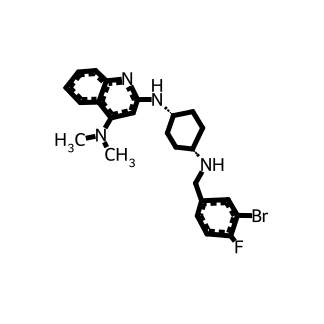 CN(C)c1cc(N[C@H]2CC[C@@H](NCc3ccc(F)c(Br)c3)CC2)nc2ccccc12